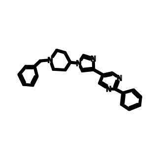 c1ccc(CN2CCC(n3cnc(-c4cnc(-c5ccccc5)nc4)c3)CC2)cc1